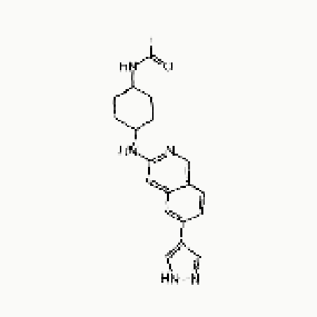 CC(=O)NC1CCC(Nc2cc3cc(-c4cn[nH]c4)ccc3cn2)CC1